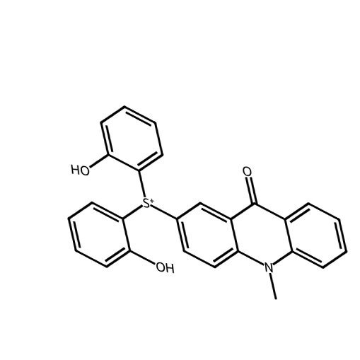 Cn1c2ccccc2c(=O)c2cc([S+](c3ccccc3O)c3ccccc3O)ccc21